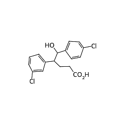 O=C(O)CCC(c1cccc(Cl)c1)C(O)c1ccc(Cl)cc1